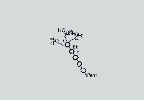 C=C(C)C(=O)OCCCc1cc(-c2ccc(-c3ccc(-c4ccc(C5CCC(CCCCC)CC5)cc4)cc3F)cc2CC)cc(CCCOC(=O)C(=C)C)c1OCCC(CO)(CO)CCC